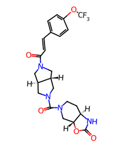 O=C1N[C@@H]2CCN(C(=O)N3C[C@H]4CN(C(=O)/C=C/c5ccc(OC(F)(F)F)cc5)C[C@@H]4C3)C[C@H]2O1